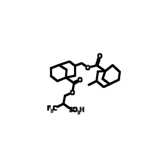 CC1CC2CCCC(C(=O)OCC3CC4CCCC(C(=O)OCC(C(F)(F)F)S(=O)(=O)O)(C4)C3)(C1)C2